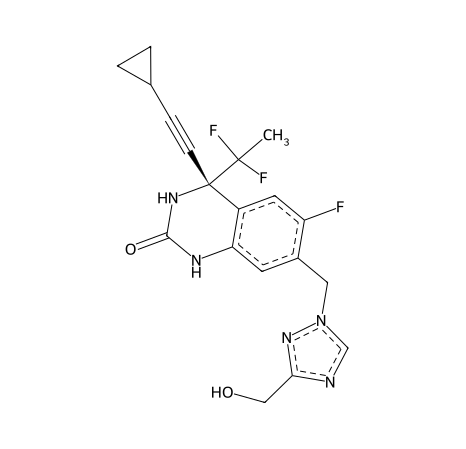 CC(F)(F)[C@@]1(C#CC2CC2)NC(=O)Nc2cc(Cn3cnc(CO)n3)c(F)cc21